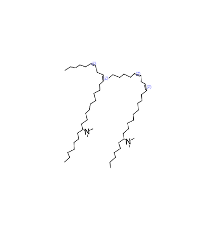 CCCCC/C=C\C/C=C\CCCCCCCCCC(CCCCCC)N(C)C.CCCCC/C=C\C/C=C\CCCCCCCCCC(CCCCCCC)N(C)C